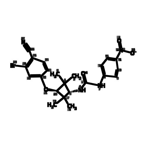 CC1(C)[C@H](NC(=O)Nc2ccc([N+](=O)[O-])cc2)C(C)(C)[C@H]1Oc1ccc(C#N)c(Br)c1